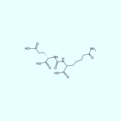 NC(=O)CCCCC(NC(=O)N[C@@H](CCC(=O)O)C(=O)O)C(=O)O